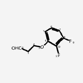 O=CCCOc1cccc(F)c1F